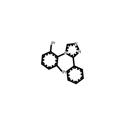 CC(C)c1cccc(C(C)C)c1-n1cnnc1-c1ccccc1